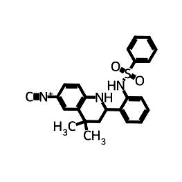 [C-]#[N+]c1ccc2c(c1)C(C)(C)CC(c1ccccc1NS(=O)(=O)c1ccccc1)N2